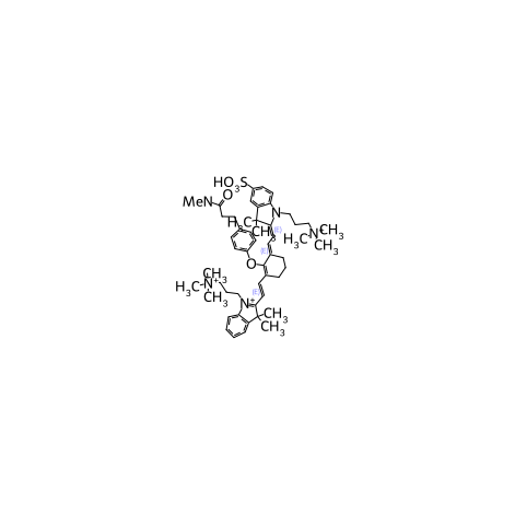 CNC(=O)CCc1ccc(OC2=C(/C=C/C3=[N+](CCC[N+](C)(C)C)c4ccccc4C3(C)C)CCC/C2=C\C=C2\N(CCC[N+](C)(C)C)c3ccc(S(=O)(=O)O)cc3C2(C)C)cc1